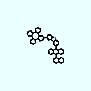 c1ccc2c(c1)-c1ccccc1-c1ccc(-c3ccc4sc5ccc(-c6c7ccccc7c(-c7cccc8ccccc78)c7ccccc67)cc5c4c3)cc1-c1ccccc1-2